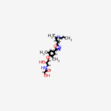 CCc1cc(-c2nnc(-c3cc(C)c(OC[C@@H](O)CNC(=O)CO)c(C)c3)o2)cc(C)n1